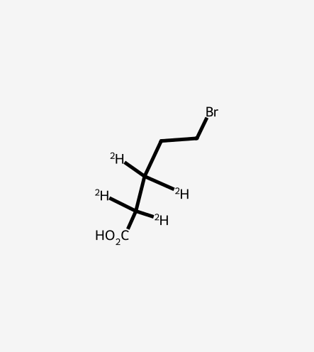 [2H]C([2H])(CCBr)C([2H])([2H])C(=O)O